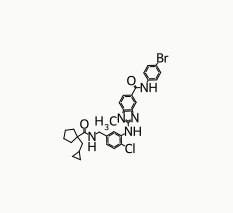 Cn1c(Nc2cc(CNC(=O)C3(CC4CC4)CCCC3)ccc2Cl)nc2cc(C(=O)Nc3ccc(Br)cc3)ccc21